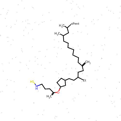 C=C(CCCCCCCC(C)CC(C)CCCCC)CCC(CC)CCC1CCC(OC(=C)CCCNS)C1